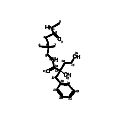 CNC(=O)CC(C)(C)CNC(=O)[C@@](O)(CCO)Cc1ccccc1